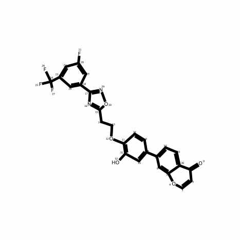 O=c1ccoc2cc(-c3ccc(OCCc4nc(-c5cc(F)cc(C(F)(F)F)c5)no4)c(O)c3)ccc12